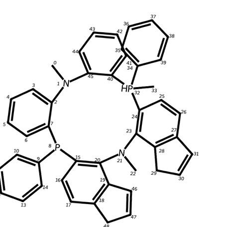 CN1c2ccccc2P(c2ccccc2)c2ccc3c(c2N(C)c2c(ccc4c2CC=C4)[PH](C)(c2ccccc2)c2ccccc21)C=CC3